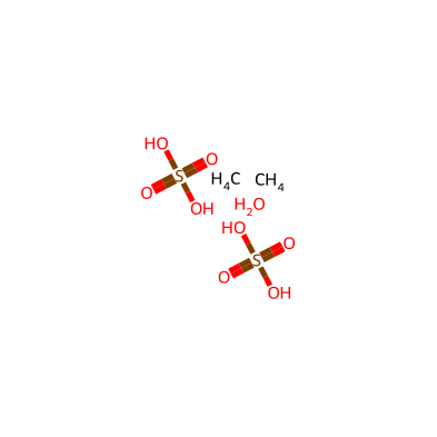 C.C.O.O=S(=O)(O)O.O=S(=O)(O)O